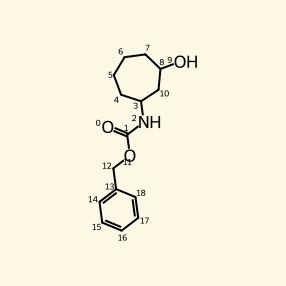 O=C(NC1CCCCC(O)C1)OCc1ccccc1